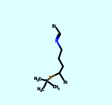 CCC=NCCCC(CC)S[Si](C)(C)C